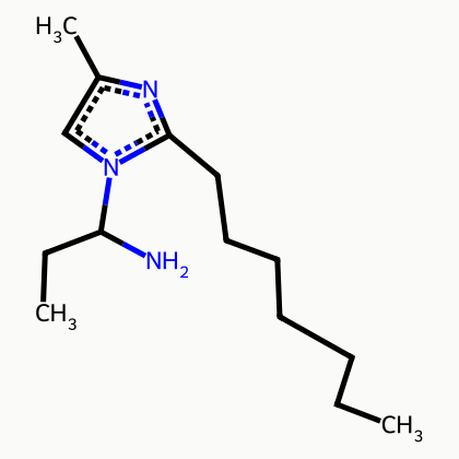 CCCCCCCc1nc(C)cn1C(N)CC